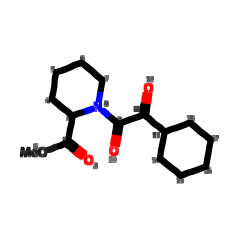 COC(=O)C1CCCCN1C(=O)C(=O)C1CCCCC1